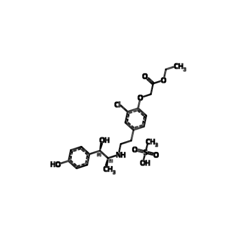 CCOC(=O)COc1ccc(CCN[C@@H](C)[C@H](O)c2ccc(O)cc2)cc1Cl.CS(=O)(=O)O